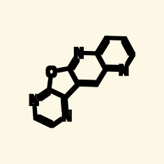 c1cnc2cc3c(nc2c1)oc1nccnc13